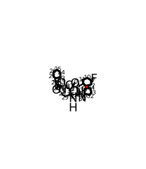 O=C(O[N+]1(Cc2ccc(F)cc2)C(NC2CCN(S(=O)(=O)Cc3ccccc3)CC2)=Nc2ccccc21)C(F)(F)F